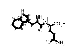 NC(=O)CCC(NC(=O)C(N)Cc1c[nH]c2ccccc12)C(=O)O